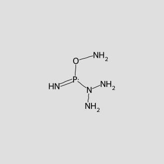 N=[P](ON)N(N)N